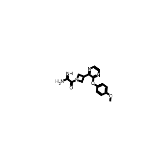 COc1ccc(Oc2nccnc2C2CN(C(=O)C(=N)N)C2)cc1